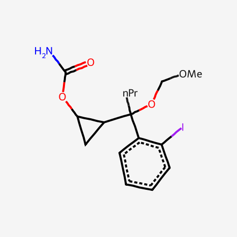 CCCC(OCOC)(c1ccccc1I)C1CC1OC(N)=O